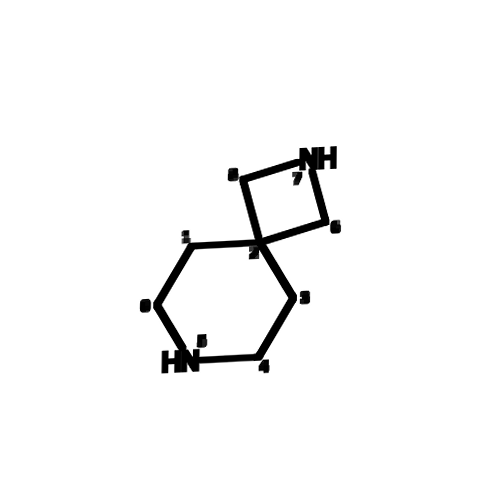 C1CC2(CCN1)CNC2